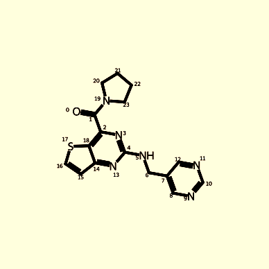 O=C(c1nc(NCc2cncnc2)nc2ccsc12)N1CCCC1